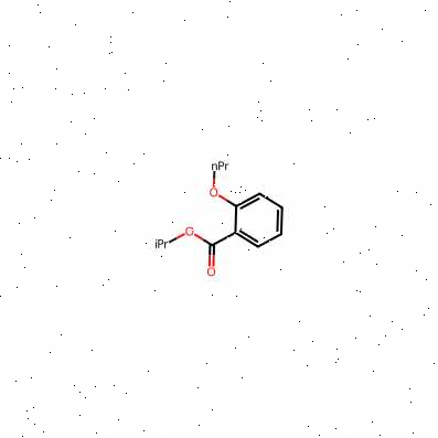 CCCOc1ccccc1C(=O)OC(C)C